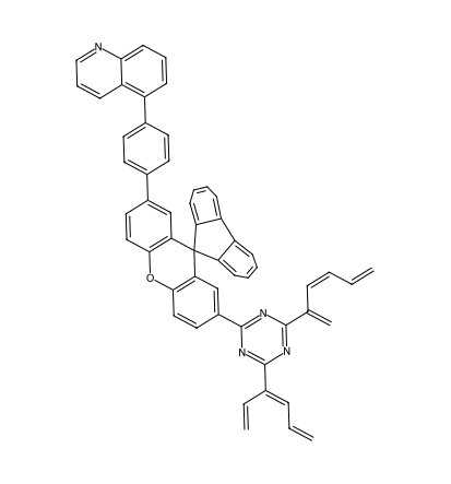 C=C/C=C\C(=C)c1nc(/C(C=C)=C/C=C)nc(-c2ccc3c(c2)C2(c4cc(-c5ccc(-c6cccc7ncccc67)cc5)ccc4O3)c3ccccc3-c3ccccc32)n1